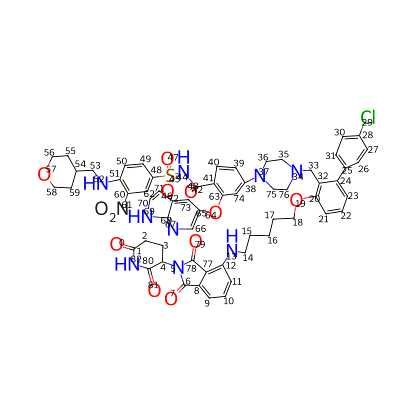 O=C1CCC(N2C(=O)c3cccc(NCCCCCOc4cccc(-c5ccc(Cl)cc5)c4CN4CCN(c5ccc(C(=O)NS(=O)(=O)c6ccc(NCC7CCOCC7)c([N+](=O)[O-])c6)c(Oc6cnc7[nH]ccc7c6)c5)CC4)c3C2=O)C(=O)N1